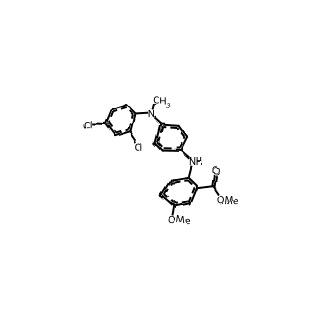 COC(=O)c1cc(OC)ccc1Nc1ccc(N(C)c2ccc(Cl)cc2Cl)cc1